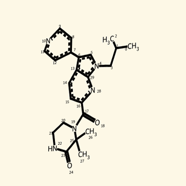 CC(C)Cn1cc(-c2ccncc2)c2ccc(C(=O)N3CCNC(=O)C3(C)C)nc21